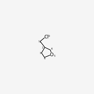 Cl[CH]C1CCOC1